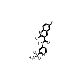 NS(=O)(=O)c1cc(NC(=O)c2cc3cc(F)ccc3nc2Cl)ccn1